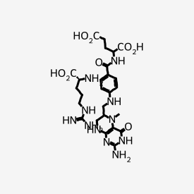 CN1c2c(nc(N)[nH]c2=O)NCC1CNc1ccc(C(=O)NC(CCC(=O)O)C(=O)O)cc1.N=C(N)NCCC[C@H](N)C(=O)O